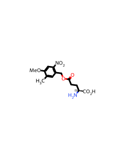 COc1cc([N+](=O)[O-])c(COC(=O)CC[C@H](N)C(=O)O)cc1C